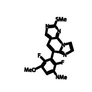 CNc1cc(OC)c(F)c(-c2cc3cnc(SC)nc3n3ccnc23)c1F